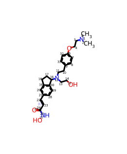 CN(C)CCOc1ccc(CCN(CCO)C2CCc3cc(/C=C/C(=O)NO)ccc32)cc1